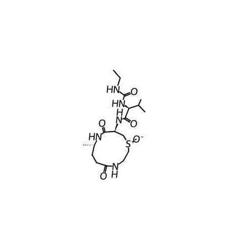 CCNC(=O)N[C@H](C(=O)N[C@H]1C[S+]([O-])CCNC(=O)CC[C@H](C)NC1=O)C(C)C